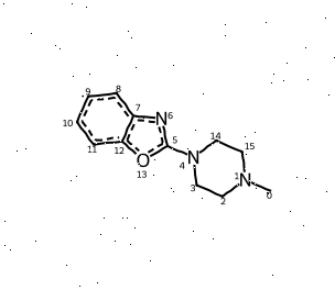 CN1CCN(c2nc3c[c]ccc3o2)CC1